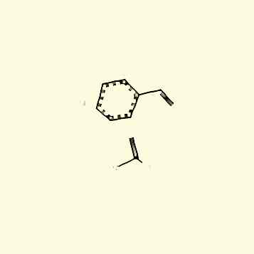 C=Cc1ccccc1.N.NC(=O)O